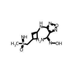 CS(=N)(=O)CC12CC(Nc3nonc3/C(N)=N\O)(C1)C2